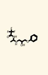 CC(NCC(O)COc1ccccc1)NC(=O)C(F)(F)F